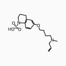 C=CCN(C)CCCCOc1ccc2c(c1)CCCN2S(=O)(=O)O